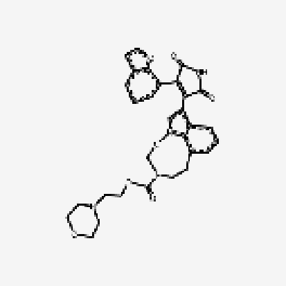 O=C1NC(=O)C(c2cccc3ccoc23)=C1c1cn2c3c(cccc13)CCN(C(=O)OCCN1CCOCC1)CC2